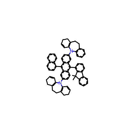 CC1(C)c2ccccc2-c2cccc(-c3c4cc(N5C6=C(CCC=C6)CCc6ccccc65)ccc4c(-c4cccc5ccccc45)c4cc(N5C6=C(CCC=C6)CCC6=C5C=CCC6)ccc34)c21